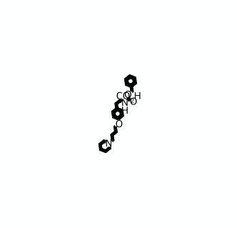 O=C(NC(Cc1ccc(OCCCCN2CCCCC2)cc1)C(=O)O)OCc1ccccc1